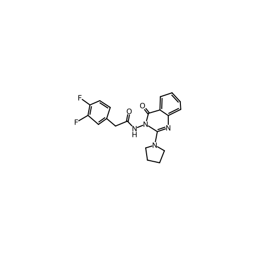 O=C(Cc1ccc(F)c(F)c1)Nn1c(N2CCCC2)nc2ccccc2c1=O